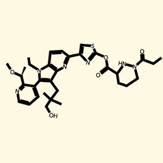 CCC(=O)N1CCCC(C(=O)Oc2nc(-c3ccc4c(n3)c(CC(C)(C)CO)c(-c3cccnc3[C@H](C)OC)n4CC)cs2)N1